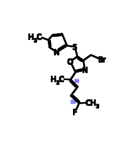 C/C(F)=C\C=C(/C)c1nc(CBr)c(Sc2ccc(C)cn2)o1